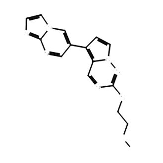 COCCNc1ncc2c(-c3cnc4nccn4c3)ccn2n1